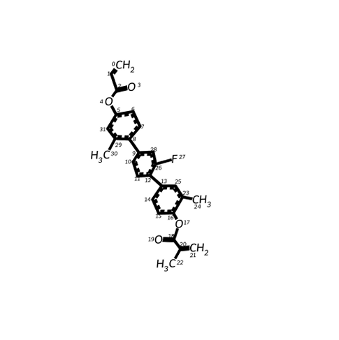 C=CC(=O)Oc1ccc(-c2ccc(-c3ccc(OC(=O)C(=C)C)c(C)c3)c(F)c2)c(C)c1